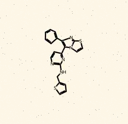 c1ccc(-c2nc3sccn3c2-c2ccnc(NCc3cccs3)n2)cc1